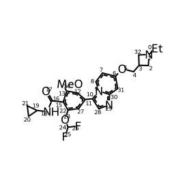 CCN1CC(COc2ccn3c(-c4cc(OC)c(C(=O)NC5CC5)c(OC(F)F)c4)cnc3c2)C1